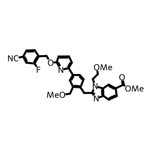 COCCn1c(Cc2ccc(-c3cccc(OCc4ccc(C#N)cc4F)n3)cc2COC)nc2ccc(C(=O)OC)cc21